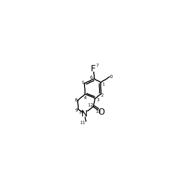 Cc1cc2c(cc1F)CCN(C)C2=O